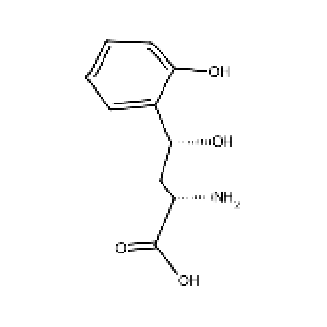 N[C@@H](C[C@@H](O)c1ccccc1O)C(=O)O